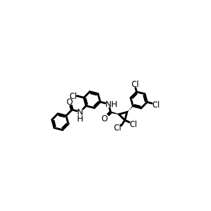 O=C(Nc1cc(NC(=O)[C@H]2[C@H](c3cc(Cl)cc(Cl)c3)C2(Cl)Cl)ccc1Cl)c1ccccc1